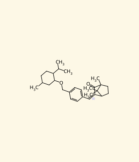 CC1CCC(C(C)C)C(OCc2ccc(/C=C3\C(=O)C4(C)CCC3C4(C)C)cc2)C1